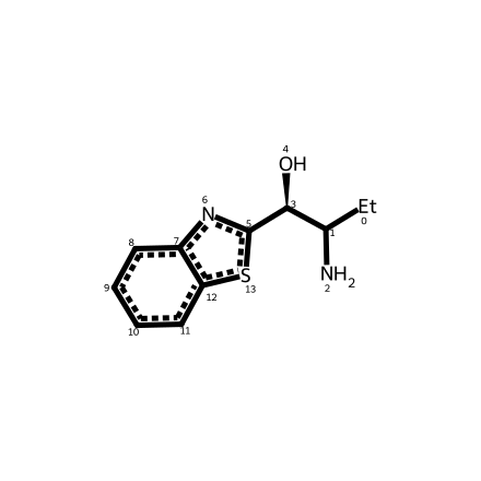 CCC(N)[C@H](O)c1nc2ccccc2s1